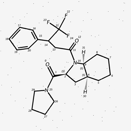 O=C([C@@H]1C[C@@H]2CCCC[C@@H]2N1C(=O)CC(c1ccccc1)C(F)(F)F)N1CCCC1